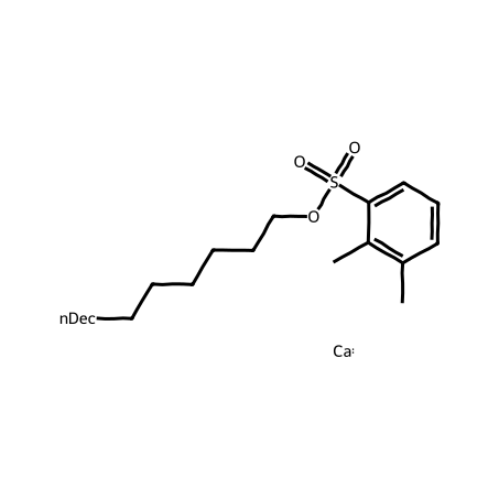 CCCCCCCCCCCCCCCCOS(=O)(=O)c1cccc(C)c1C.[Ca]